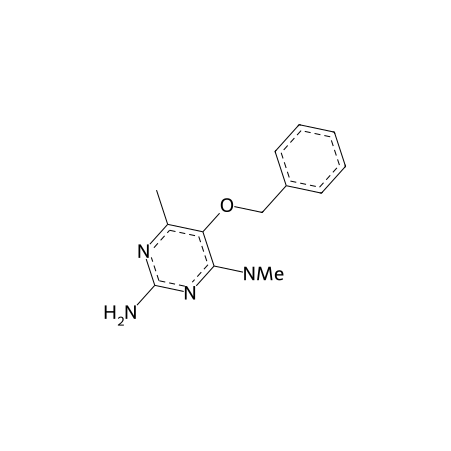 CNc1nc(N)nc(C)c1OCc1ccccc1